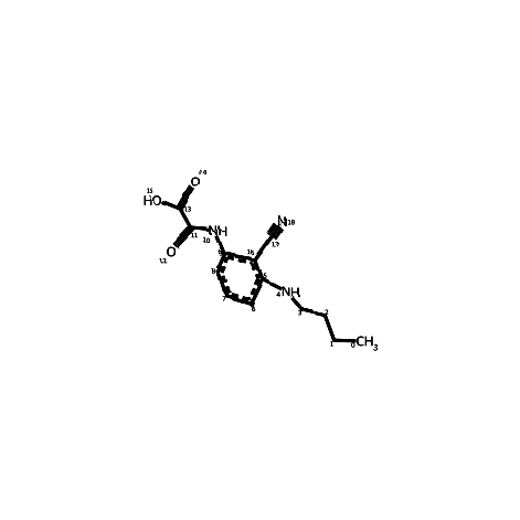 CCCCNc1cccc(NC(=O)C(=O)O)c1C#N